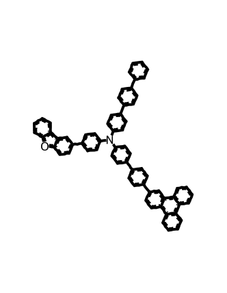 c1ccc(-c2ccc(-c3ccc(N(c4ccc(-c5ccc(-c6ccc7c8ccccc8c8ccccc8c7c6)cc5)cc4)c4ccc(-c5ccc6oc7ccccc7c6c5)cc4)cc3)cc2)cc1